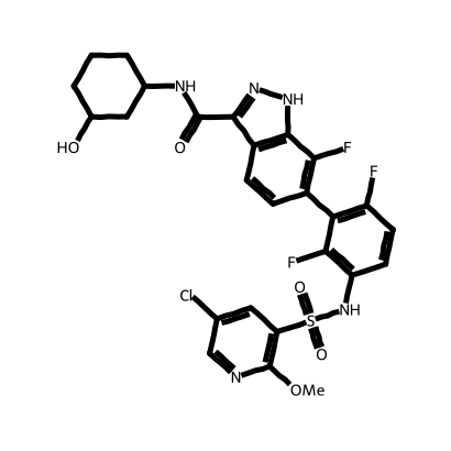 COc1ncc(Cl)cc1S(=O)(=O)Nc1ccc(F)c(-c2ccc3c(C(=O)NC4CCCC(O)C4)n[nH]c3c2F)c1F